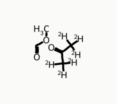 COC=O.[2H]C([2H])([2H])C(=O)C([2H])([2H])[2H]